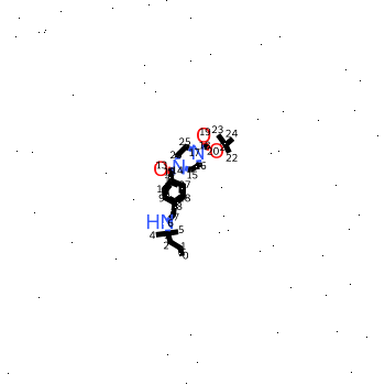 CCCC(C)(C)NCc1ccc(C(=O)N2CCN(C(=O)OC(C)(C)C)CC2)cc1